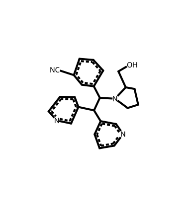 N#Cc1cccc(C(C(c2cccnc2)c2cccnc2)N2CCCC2CO)c1